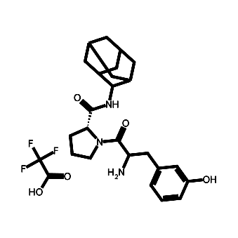 NC(Cc1cccc(O)c1)C(=O)N1CCC[C@@H]1C(=O)NC1C2CC3CC(C2)CC1C3.O=C(O)C(F)(F)F